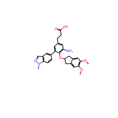 COc1cc2c(cc1OC)CC(Oc1c(N)cc(CCC(=O)O)cc1-c1ccc3c(cnn3C)c1)C2